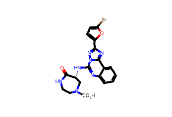 O=C1NCCN(C(=O)O)C[C@H]1Nc1nc2ccccc2c2nc(-c3ccc(Br)o3)nn12